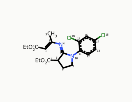 CCOC(=O)C=C(C)N=C1C(C(=O)OCC)CCN1c1ccc(Cl)cc1Cl